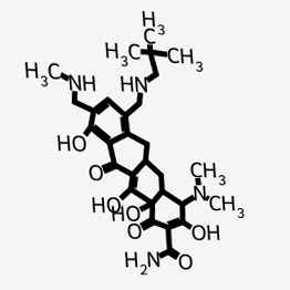 CNCc1cc(CNCC(C)(C)C)c2c(c1O)C(=O)C1=C(O)C3(O)C(=O)C(C(N)=O)=C(O)C(N(C)C)C3CC1C2